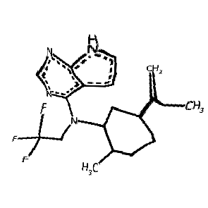 C=C(C)C1CCC(C)C(N(CC(F)(F)F)c2ncnc3[nH]ccc23)C1